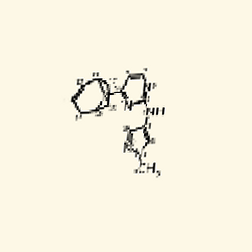 Cn1cc(Nc2nccc(N3C4C=CCC3CC4)n2)cn1